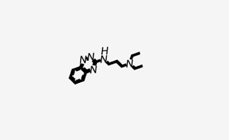 CCN(CC)CCCNc1nnc2ccccc2n1